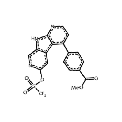 COC(=O)c1ccc(-c2ccnc3[nH]c4cnc(OS(=O)(=O)C(F)(F)F)cc4c23)cc1